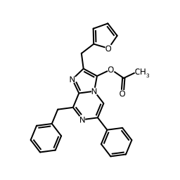 CC(=O)Oc1c(Cc2ccco2)nc2c(Cc3ccccc3)nc(-c3ccccc3)cn12